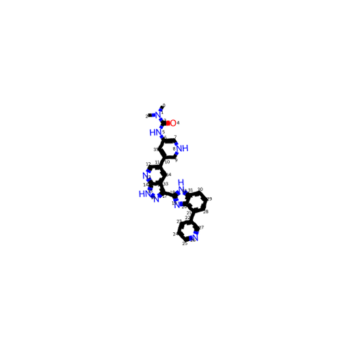 CN(C)C(=O)NC1=CNCC(c2cnc3[nH]nc(-c4nc5c(-c6cccnc6)cccc5[nH]4)c3c2)=C1